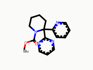 CC(C)(C)OC(=O)N1CCCCC1(c1ccccn1)c1ncccn1